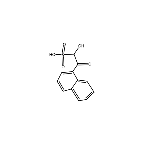 O=C(c1cccc2ccccc12)C(O)S(=O)(=O)O